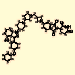 Nc1ncnc2c1c(-c1ccc(Oc3ccccc3)cc1)nn2C1CCN([C@H]2CCN(CC3CN(c4ccc5c(c4)C(=O)N(C4CCC(=O)NC4=O)C5=O)C3)C2)CC1